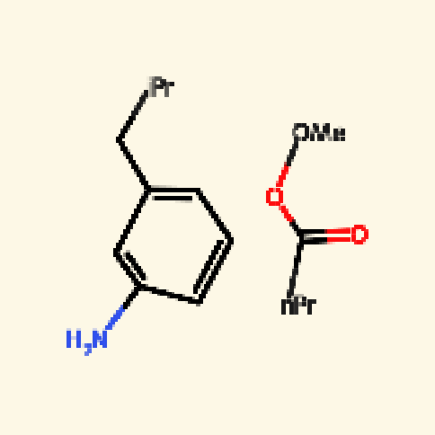 CC(C)Cc1cccc(N)c1.CCCC(=O)OOC